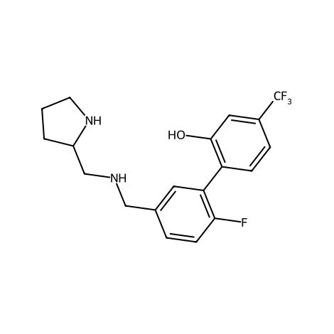 Oc1cc(C(F)(F)F)ccc1-c1cc(CNCC2CCCN2)ccc1F